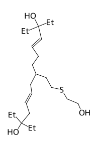 CCC(O)(/C=C/CCC(C/C=C/CC(O)(CC)CC)CCSCCO)CC